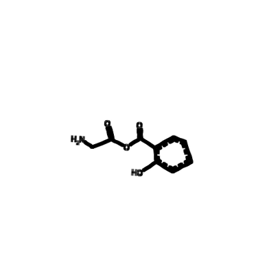 NCC(=O)OC(=O)c1ccccc1O